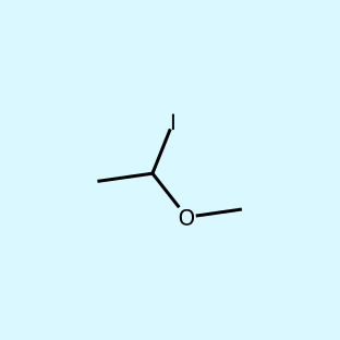 COC(C)I